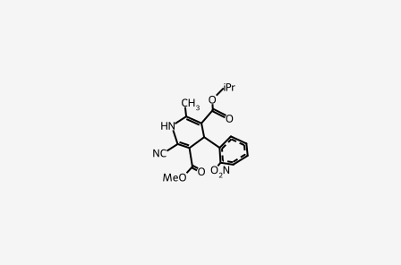 COC(=O)C1=C(C#N)NC(C)=C(C(=O)OC(C)C)C1c1ccccc1[N+](=O)[O-]